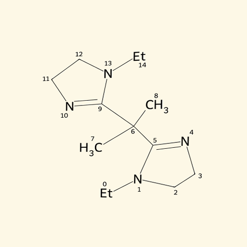 CCN1CCN=C1C(C)(C)C1=NCCN1CC